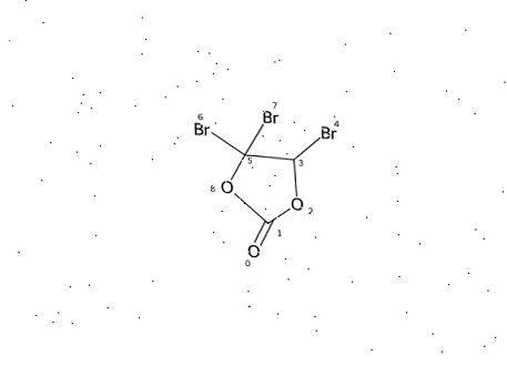 O=C1OC(Br)C(Br)(Br)O1